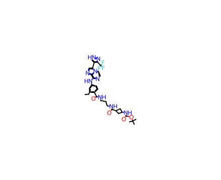 CCc1cc(Nc2nccn3c(-c4c[nH]nc4C(F)(F)F)cnc23)ccc1C(=O)NCCCNC(=O)C1CC(NC(=O)OC(C)(C)C)C1